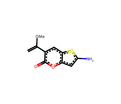 C=C(OC)c1cc2sc(N)cc2oc1=O